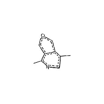 Cc1cnc(C)c2cocc12